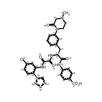 CN1CCN(c2cccc(C[C@H](NC(=O)C(=O)Nc3cc(Cl)ccc3-n3cnnn3)C(=O)Nc3ccc(C(=O)O)cc3)c2)C(=O)C1